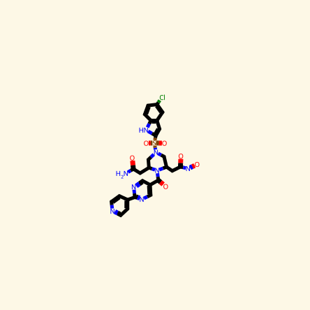 NC(=O)CC1CN(S(=O)(=O)c2cc3cc(Cl)ccc3[nH]2)CC(CC(=O)N=O)N1C(=O)c1cnc(-c2ccncc2)nc1